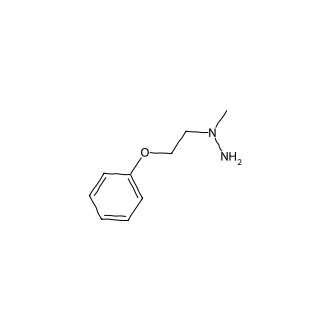 CN(N)CCOc1ccccc1